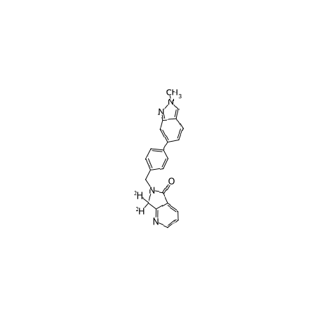 [2H]C1([2H])c2ncccc2C(=O)N1Cc1ccc(-c2ccc3cn(C)nc3c2)cc1